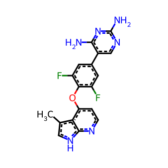 Cc1c[nH]c2nccc(Oc3c(F)cc(-c4cnc(N)nc4N)cc3F)c12